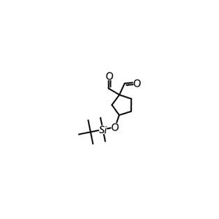 CC(C)(C)[Si](C)(C)OC1CCC(C=O)(C=O)C1